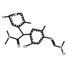 CCN(C)/C=N/c1cc(Cl)c(C(C(=O)N(C)C)c2cc(F)ccc2C)cc1C